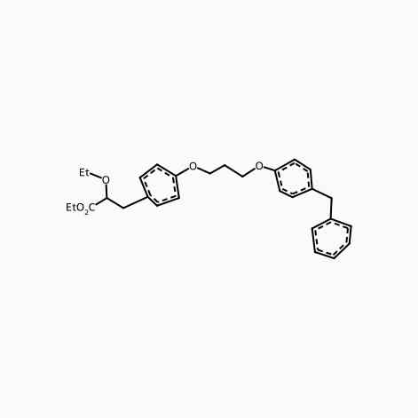 CCOC(=O)C(Cc1ccc(OCCCOc2ccc(Cc3ccccc3)cc2)cc1)OCC